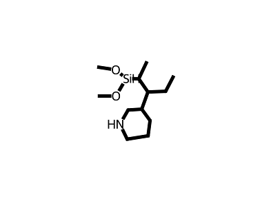 CCC(C1CCCNC1)C(C)[SiH](OC)OC